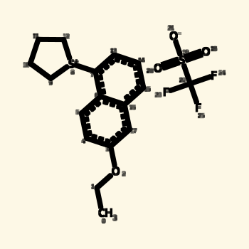 CCOc1ccc2c([S+]3CCCC3)cccc2c1.O=S(=O)([O-])C(F)(F)F